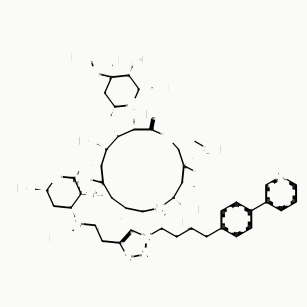 CC[C@H]1OC(=O)[C@H](C)[C@@H](O[C@H]2C[C@@](C)(OC)[C@@H](O)[C@H](C)O2)[C@H](C)[C@@H](O[C@@H]2O[C@H](C)C[C@H](N(C)CCC3=CN(CCCCc4ccc(-c5cccnc5)cc4)NN3)[C@H]2O)[C@](C)(O)C[C@@H](C)CN(C)[C@H](C)[C@@H](O)[C@]1(C)O